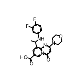 CC(Nc1ccc(F)c(F)c1)c1cc(C(=O)O)cn2c(=O)cc(N3CCOCC3)nc12